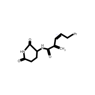 C=C(/C=C\CC(C)C)C(=O)NC1CCC(=O)NC1=O